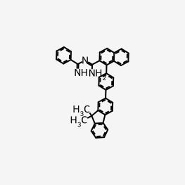 CC1(C)c2ccccc2-c2ccc(-c3ccc(-c4c(/C(N)=N/C(=N)c5ccccc5)ccc5ccccc45)cc3)cc21